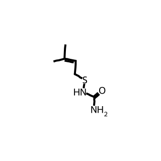 CC(C)=CCSNC(N)=O